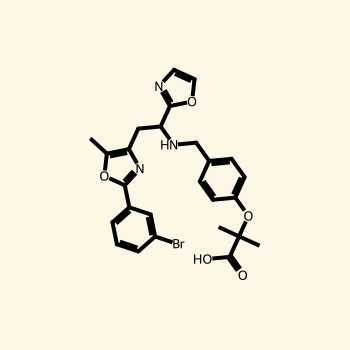 Cc1oc(-c2cccc(Br)c2)nc1CC(NCc1ccc(OC(C)(C)C(=O)O)cc1)c1ncco1